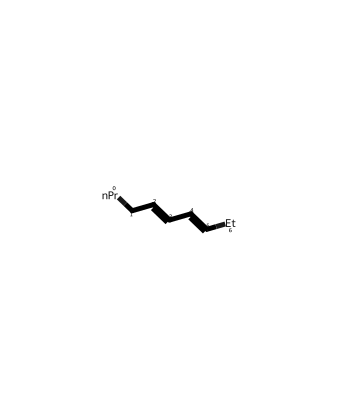 [CH2]CCC/C=C/C=C/CC